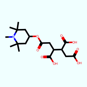 CN1C(C)(C)CC(OC(=O)CC(C(=O)O)C(CC(=O)O)C(=O)O)CC1(C)C